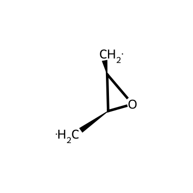 [CH2][C@@H]1O[C@@H]1[CH2]